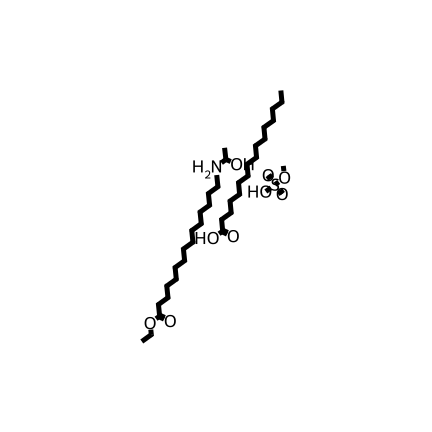 CC(N)O.CCCCCCCCCCCCCCCC(=O)O.CCCCCCCCCCCCCCCC(=O)OCC.COS(=O)(=O)O